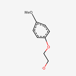 COc1ccc(OCC[O])cc1